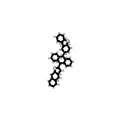 c1ccc2cc3oc(-c4c5ccccc5c(-c5ccc6oc7ccccc7c6c5)c5ccccc45)cc3cc2c1